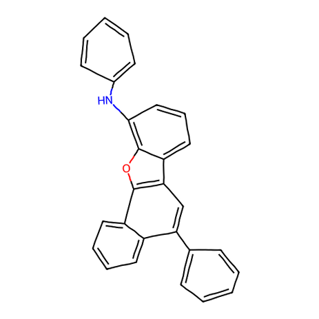 c1ccc(Nc2cccc3c2oc2c4ccccc4c(-c4ccccc4)cc32)cc1